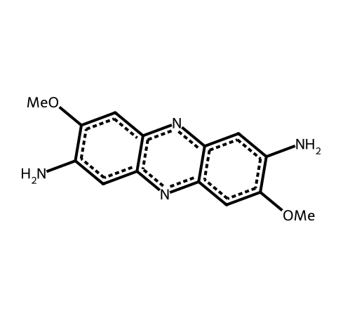 COc1cc2nc3cc(N)c(OC)cc3nc2cc1N